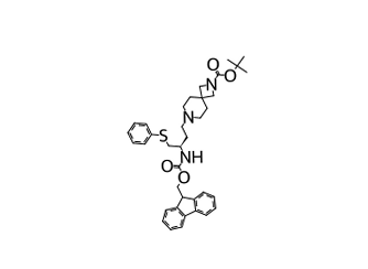 CC(C)(C)OC(=O)N1CC2(CCN(CC[C@H](CSc3ccccc3)NC(=O)OCC3c4ccccc4-c4ccccc43)CC2)C1